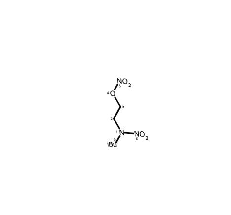 CCC(C)N(CCO[N+](=O)[O-])[N+](=O)[O-]